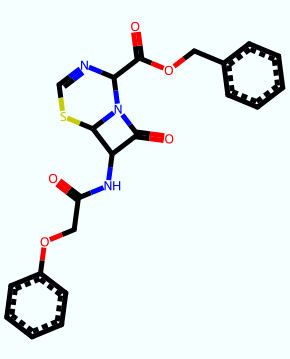 O=C(COc1ccccc1)NC1C(=O)N2C(C(=O)OCc3ccccc3)N=CSC12